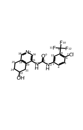 O=C(Nc1ccc(Cl)c(C(F)(F)F)c1)Nc1cncc2c1CC(O)CC2